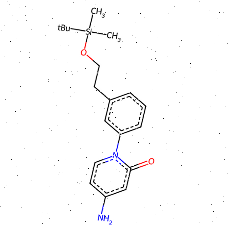 CC(C)(C)[Si](C)(C)OCCc1cccc(-n2ccc(N)cc2=O)c1